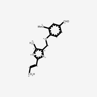 COc1cc(C=O)ccc1OCc1nc(C=CC(=O)O)oc1C